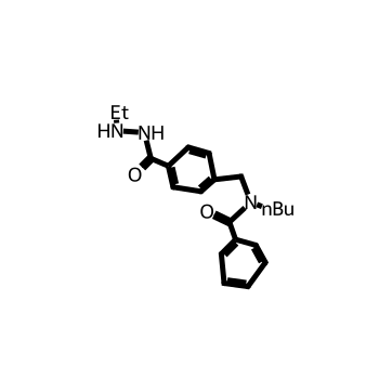 CCCCN(Cc1ccc(C(=O)NNCC)cc1)C(=O)c1ccccc1